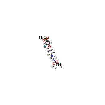 CC1(OC(=O)N2CCN(C3CCC(COc4ccc(S(C)(=O)=O)cc4F)CC3)CC2)CC1